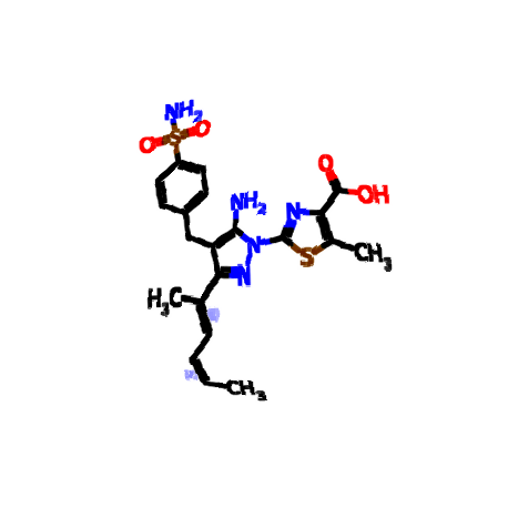 C/C=C\C=C(/C)c1nn(-c2nc(C(=O)O)c(C)s2)c(N)c1Cc1ccc(S(N)(=O)=O)cc1